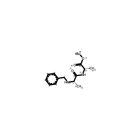 C[C@H](NCc1ccccc1)C(=O)N[C@@H](C)C(=O)OC(C)(C)C